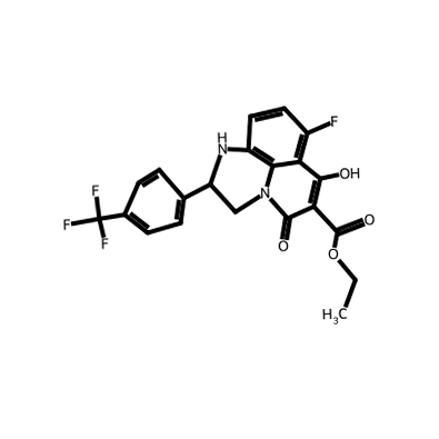 CCOC(=O)c1c(O)c2c(F)ccc3c2n(c1=O)CC(c1ccc(C(F)(F)F)cc1)N3